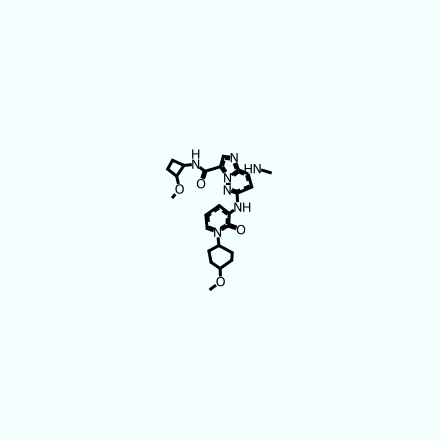 CNc1cc(Nc2cccn(C3CCC(OC)CC3)c2=O)nn2c(C(=O)NC3CCC3OC)cnc12